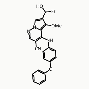 CCC(O)c1cn2ncc(C#N)c(Nc3ccc(Oc4ccccc4)cc3)c2c1OC